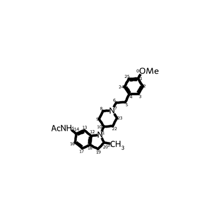 COc1ccc(CCN2CCC(N3c4cc(NC(C)=O)ccc4CC3C)CC2)cc1